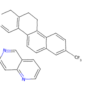 FC(F)(F)c1ccc2c3c(ccc2c1)C1=C(CCC=C1)CC3.c1cnc2ccncc2c1